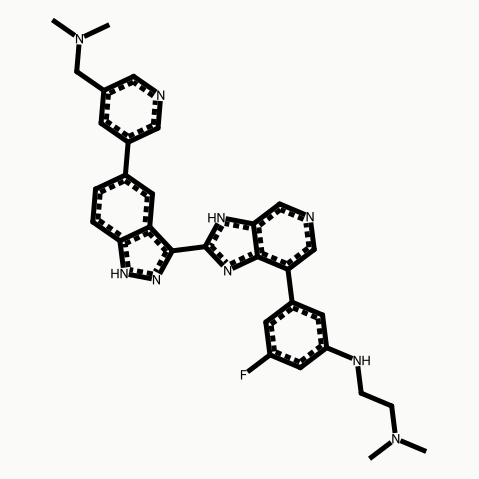 CN(C)CCNc1cc(F)cc(-c2cncc3[nH]c(-c4n[nH]c5ccc(-c6cncc(CN(C)C)c6)cc45)nc23)c1